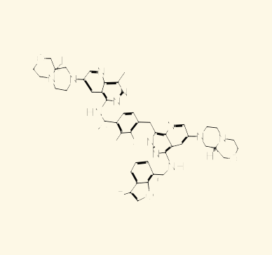 Cc1c([C@@H](C)Nc2nnc(C)c3ncc(N4CCN5CCOC[C@@H]5C4)cc23)ccc(Cc2nnc(N[C@H](C)c3cccc4c(F)coc34)c3cc(N4CCN5CCOC[C@@H]5C4)cnc23)c1C(F)(F)F